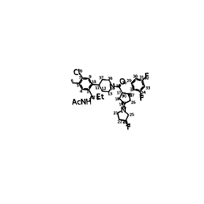 CC[C@H](NC(C)=O)c1cc(C)c(Cl)cc1C1CCN(C(=O)[C@@H]2C[C@H](N3CC[C@H](F)C3)C[C@H]2c2ccc(F)cc2F)CC1